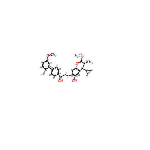 COC(=O)[C@@H](C)[C@H](c1ccc(CCC(O)c2ccc(-c3cc(OC)ccc3F)cc2)c(O)c1)C1CC1